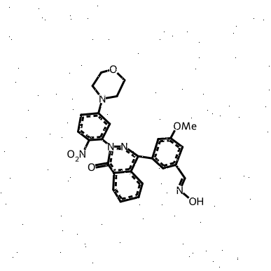 COc1cc(C=NO)cc(-c2nn(-c3cc(N4CCOCC4)ccc3[N+](=O)[O-])c(=O)c3ccccc23)c1